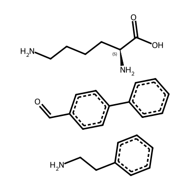 NCCCC[C@H](N)C(=O)O.NCCc1ccccc1.O=Cc1ccc(-c2ccccc2)cc1